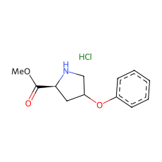 COC(=O)[C@@H]1CC(Oc2ccccc2)CN1.Cl